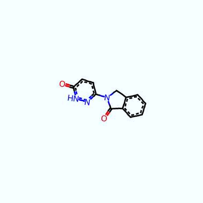 O=C1c2ccccc2CN1c1ccc(=O)[nH]n1